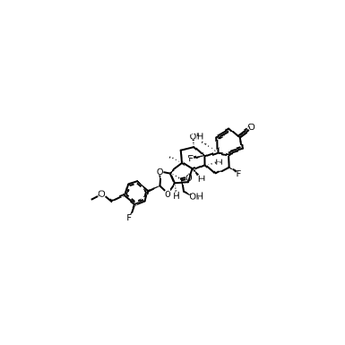 COCc1ccc([C@@H]2O[C@@H]3C[C@H]4[C@@H]5C[C@H](F)C6=CC(=O)C=C[C@]6(C)[C@@]5(F)[C@@H](O)C[C@]4(C)[C@]3(C(=O)CO)O2)cc1F